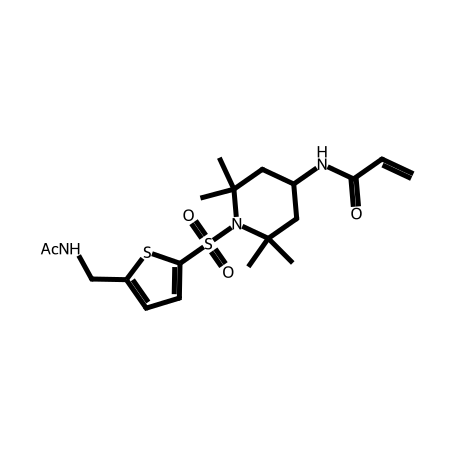 C=CC(=O)NC1CC(C)(C)N(S(=O)(=O)c2ccc(CNC(C)=O)s2)C(C)(C)C1